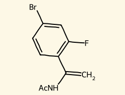 C=C(NC(C)=O)c1ccc(Br)cc1F